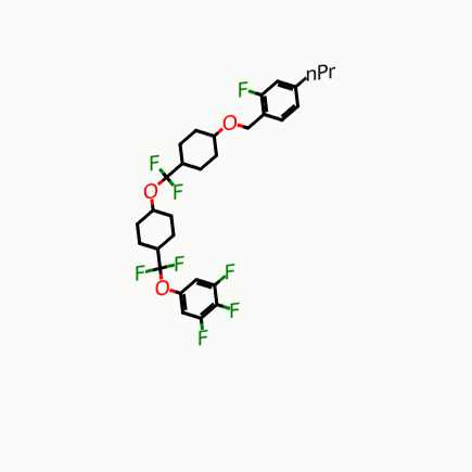 CCCc1ccc(COC2CCC(C(F)(F)OC3CCC(C(F)(F)Oc4cc(F)c(F)c(F)c4)CC3)CC2)c(F)c1